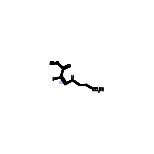 CCOC(=O)CCN/C=C(/F)C(=O)NC